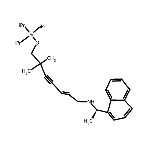 CC(C)[Si](OCC(C)(C)C#C/C=C/CN[C@H](C)c1cccc2ccccc12)(C(C)C)C(C)C